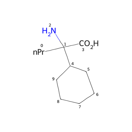 CCCC(N)(C(=O)O)C1CCCCC1